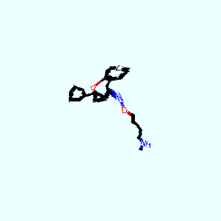 CNCCCCON=C1c2ccccc2OC2(c3ccccc3)CC12